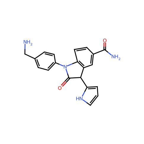 NCc1ccc(N2C(=O)C(c3ccc[nH]3)c3cc(C(N)=O)ccc32)cc1